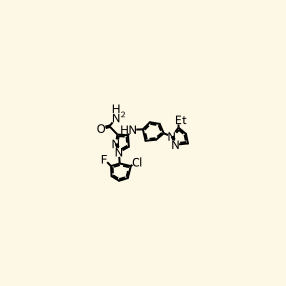 CCc1ccnn1-c1ccc(Nc2cn(-c3c(F)cccc3Cl)nc2C(N)=O)cc1